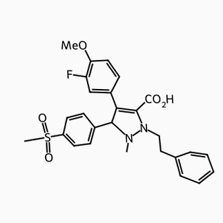 COc1ccc(C2=C(C(=O)O)N(CCc3ccccc3)N(C)C2c2ccc(S(C)(=O)=O)cc2)cc1F